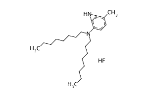 CCCCCCCCN(CCCCCCCC)c1ccc(C)c2c1N2.F